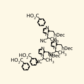 CCCCCCCCCCCc1nccn1C(C)C#N.CCCCCCCCCCCc1nccn1C(C)C#N.CCCCCCCCCCCc1nccn1C(C)C#N.O=C(O)c1ccccc1.O=C(O)c1ccccc1.O=C(O)c1ccccc1